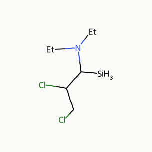 CCN(CC)C([SiH3])C(Cl)CCl